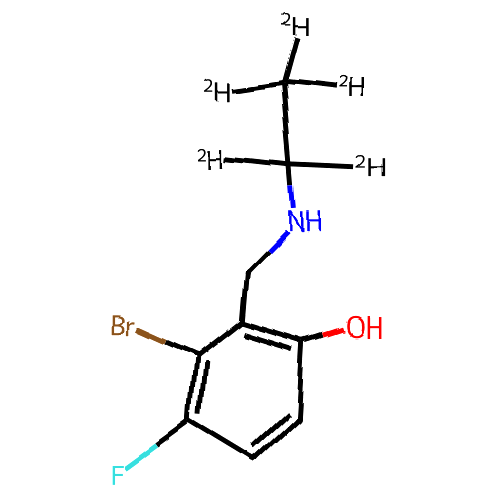 [2H]C([2H])([2H])C([2H])([2H])NCc1c(O)ccc(F)c1Br